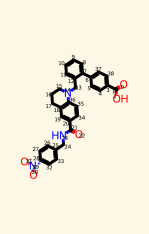 O=C(O)c1ccc(-c2ccccc2CN2CCCc3cc(C(=O)NCc4ccc([N+](=O)[O-])cc4)ccc32)cc1